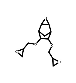 C1OC1COC1C2CC(C1OCC1CO1)C1OC21